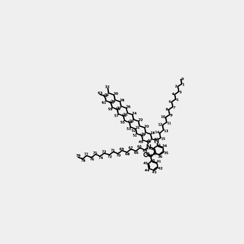 CCCCCCCCCCCCCCCCN(CCCCCCCCCCCCCCCC)c1cccc(C(=O)c2ccccc2)c1N(CCCCCCCCCCCCCCCC)CCCCCCCCCCCCCCCC